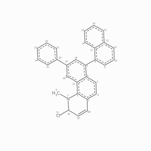 CN1c2c(ccc3c(-c4cccc5ccccc45)cc(-c4ccccc4)nc23)C=CC1Cl